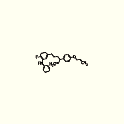 C=CCOc1ccc(C(C=C)CCCc2ccc(F)c(Nc3ccccc3)c2)cc1